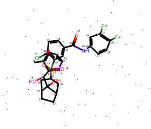 Cc1cccnc1[C@H](O)C1(O)C2CCC1CC(S(=O)(=O)c1cc(C(=O)Nc3ccc(F)c(F)c3)ccc1Cl)C2